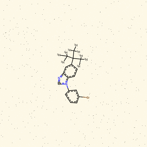 [2H]C([2H])([2H])C(c1ccc2c(c1)ncn2-c1cccc(Br)c1)(C([2H])([2H])[2H])C([2H])([2H])[2H]